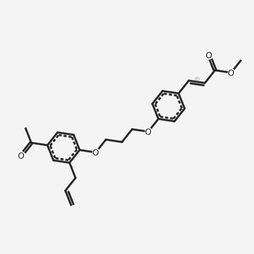 C=CCc1cc(C(C)=O)ccc1OCCCOc1ccc(/C=C/C(=O)OC)cc1